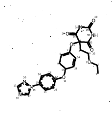 CCOCCC1(OC2=CCC(Oc3ccc(-n4cncn4)cc3)C=C2)C(=O)NC(=O)NC1=O